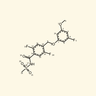 COc1cc(F)cc(OCc2cc(F)c(C(=O)NS(C)(=O)=O)cc2F)c1